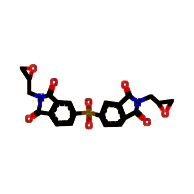 O=C1c2ccc(S(=O)(=O)c3ccc4c(c3)C(=O)N(CC3CO3)C4=O)cc2C(=O)N1CC1CO1